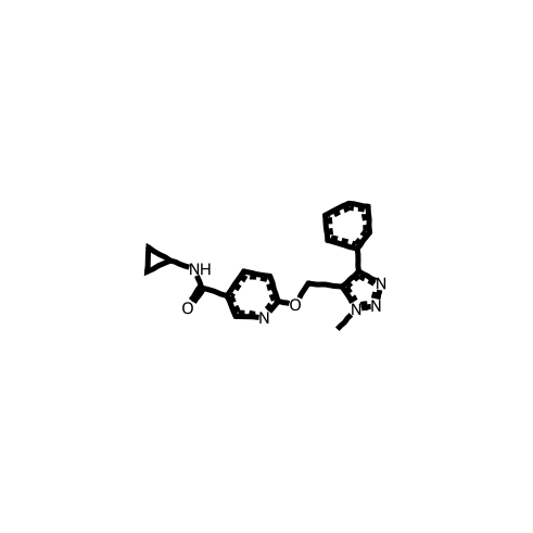 Cn1nnc(-c2ccccc2)c1COc1ccc(C(=O)NC2CC2)cn1